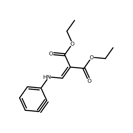 CCOC(=O)C(=CNc1c#cccc1)C(=O)OCC